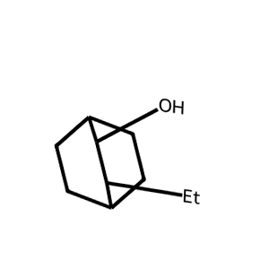 CCC1C2CCC(CC2)C1O